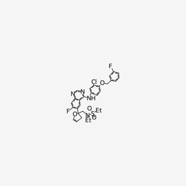 CCN(CC1(c2cc3c(Nc4ccc(OCc5cccc(F)c5)c(Cl)c4)ncnc3cc2F)CC=CO1)S(=O)(=O)CC